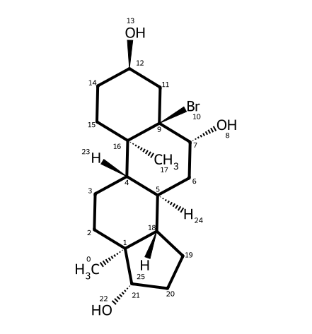 C[C@]12CC[C@H]3[C@@H](C[C@@H](O)[C@@]4(Br)C[C@H](O)CC[C@]34C)[C@@H]1CC[C@@H]2O